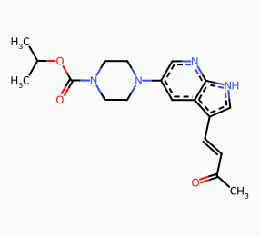 CC(=O)/C=C/c1c[nH]c2ncc(N3CCN(C(=O)OC(C)C)CC3)cc12